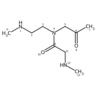 CNCCN(CC(C)=O)C(=O)CNC